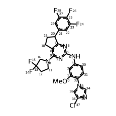 COc1cc(Nc2nc3c(c(N4CCC(F)(F)C4)n2)CCC3c2cc(F)c(F)c(F)c2)ccc1-n1cnc(Cl)c1